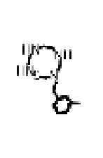 Cc1cccc(CCN2CCNCCNCCNCC2)c1